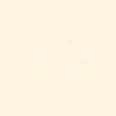 Nc1ccccc1Sc1cc(Sc2ccccc2N)c([N+](=O)[O-])cc1Cl